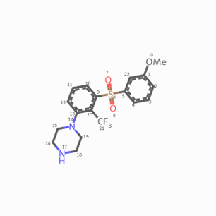 COc1cccc(S(=O)(=O)c2cccc(N3CCNCC3)c2C(F)(F)F)c1